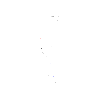 CO[C@H]1C[C@@H](S(=O)(=O)c2ccc(N3CCN(C)CC3)cc2C(F)(F)F)C[C@]1(C(=O)O)C1CC1(C#N)C(N)=O